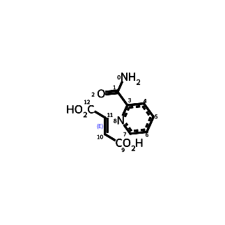 NC(=O)c1ccccn1.O=C(O)/C=C/C(=O)O